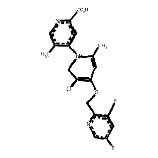 CC1=CC(OCc2ncc(F)cc2F)=C(Cl)CN1c1cc(C(=O)O)ncc1C